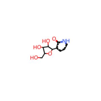 O=c1[nH]cccc1C1OC(CO)C(O)C1O